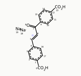 O=C(O)c1ccc(/C=C/C(=O)c2ccc(C(=O)O)cc2)cc1.[Na].[Na]